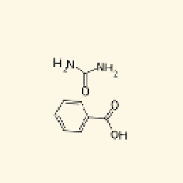 NC(N)=O.O=C(O)c1ccccc1